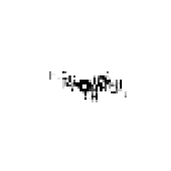 CNc1nc(Nc2ccc(-c3nnc(C)o3)cc2Cl)ncc1Cl